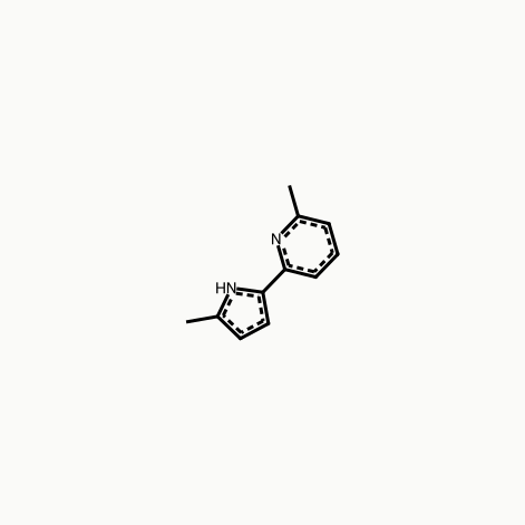 Cc1cccc(-c2ccc(C)[nH]2)n1